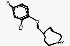 Fc1ccc(OCC2CCNCC2)c(Cl)c1